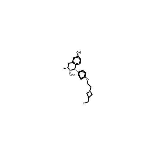 CSN1[C@@H](c2ccc(OCCN3CC(CF)C3)cc2)c2ccc(O)cc2C[C@@H]1C